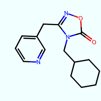 O=c1onc(Cc2cccnc2)n1CC1CCCCC1